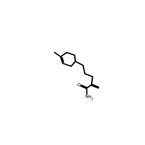 C=C(CCCC1CC=C(C)CC1)C(N)=O